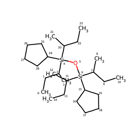 CCC(C)[Si](O[Si](C(C)CC)(C(C)CC)C1CCCC1)(C(C)CC)C1CCCC1